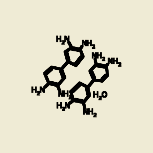 Nc1ccc(-c2ccc(N)c(N)c2)cc1N.Nc1ccc(-c2ccc(N)c(N)c2)cc1N.O